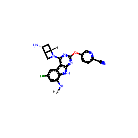 CNc1cc(F)cc2c1[nH]c1nc(Oc3ccc(C#N)nc3)nc(N3CC4[C@H](N)C[C@@H]43)c12